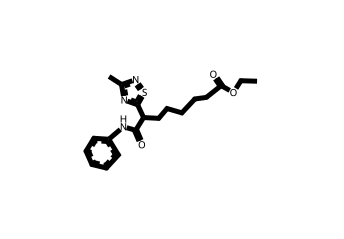 CCOC(=O)CCCCCC(C(=O)Nc1ccccc1)c1nc(C)ns1